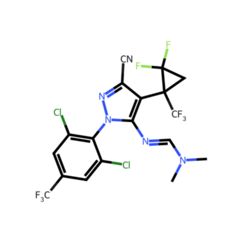 CN(C)C=Nc1c(C2(C(F)(F)F)CC2(F)F)c(C#N)nn1-c1c(Cl)cc(C(F)(F)F)cc1Cl